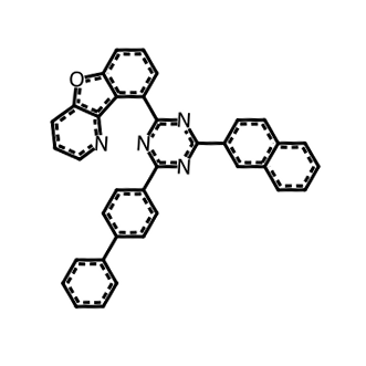 c1ccc(-c2ccc(-c3nc(-c4ccc5ccccc5c4)nc(-c4cccc5oc6cccnc6c45)n3)cc2)cc1